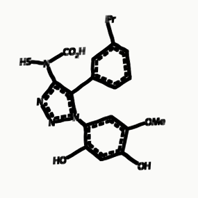 COc1cc(-n2nnc(N(S)C(=O)O)c2-c2cccc(C(C)C)c2)c(O)cc1O